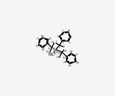 CC(C)(c1ccccc1)[Si](C#N)(C(C)(C)c1ccccc1)C(C)(C)c1ccccc1